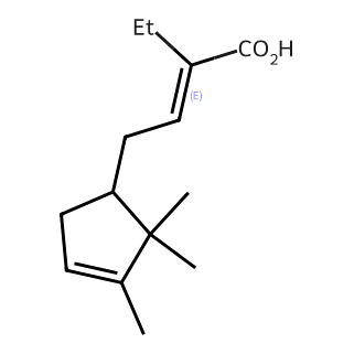 CC/C(=C\CC1CC=C(C)C1(C)C)C(=O)O